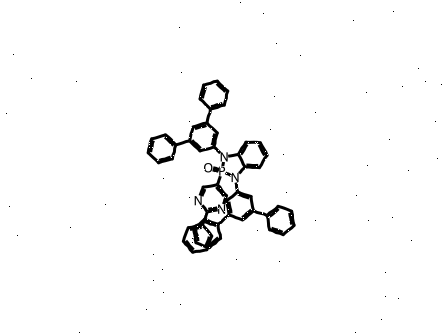 O=P1(c2cnc(-c3ccccc3)nc2)N(c2cc(-c3ccccc3)cc(-c3ccccc3)c2)c2ccccc2N1c1cc(-c2ccccc2)cc(-c2ccccc2)c1